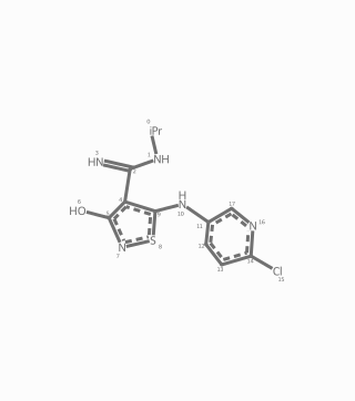 CC(C)NC(=N)c1c(O)nsc1Nc1ccc(Cl)nc1